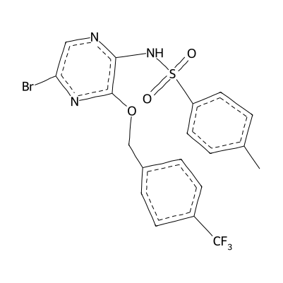 Cc1ccc(S(=O)(=O)Nc2ncc(Br)nc2OCc2ccc(C(F)(F)F)cc2)cc1